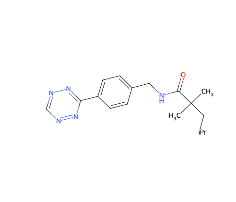 CC(C)CC(C)(C)C(=O)NCc1ccc(-c2nncnn2)cc1